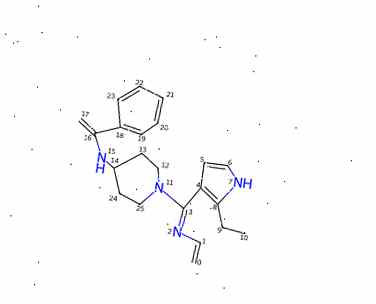 C=C/N=C(\c1cc[nH]c1CC)N1CCC(NC(=C)c2ccccc2)CC1